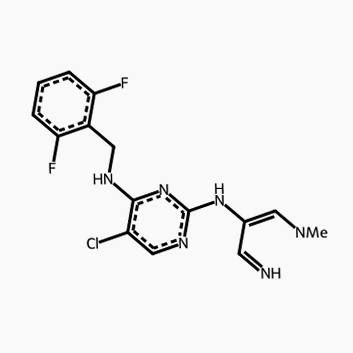 CN/C=C(\C=N)Nc1ncc(Cl)c(NCc2c(F)cccc2F)n1